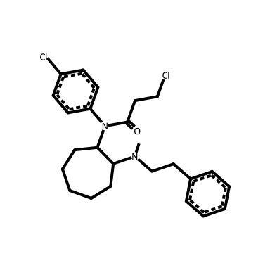 CN(CCc1ccccc1)C1CCCCCC1N(C(=O)CCCl)c1ccc(Cl)cc1